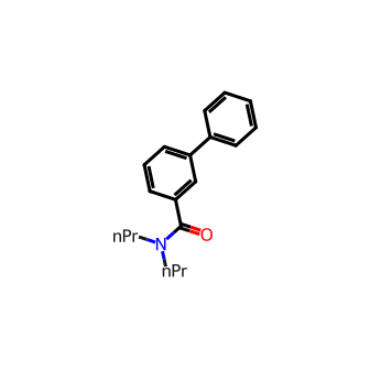 CCCN(CCC)C(=O)c1cccc(-c2ccccc2)c1